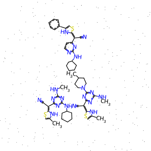 CNc1nc(C(C#N)=C2NC(C)=CS2)nc(N2CCC(C)CC2)n1.CNc1nc(NC2CCCCC2)nc(C(C#N)=C2NC(C)=CS2)n1.N#CC(=C1NC(c2ccccc2)=CS1)c1ccnc(NC2CCCCC2)n1